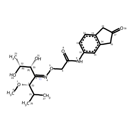 CO[C@H](/C(=N/OCC(=O)Nc1ccc2c(c1)CC(=O)C2)[C@@H](O)[C@@H](C)O)C(C)C